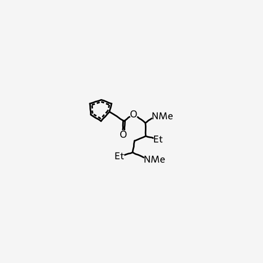 CCC(CC(CC)C(NC)OC(=O)c1ccccc1)NC